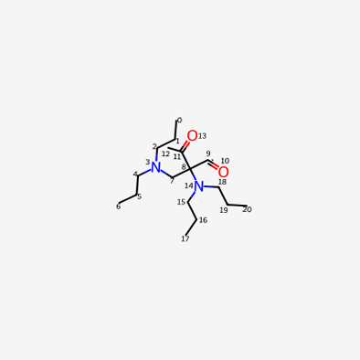 CCCN(CCC)CC([C]=O)(C(C)=O)N(CCC)CCC